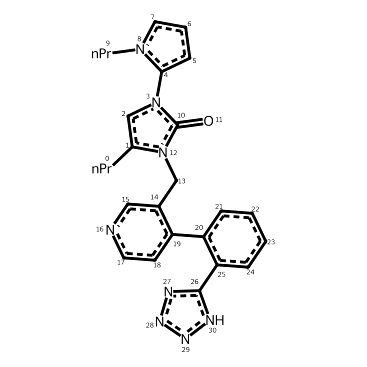 CCCc1cn(-c2cccn2CCC)c(=O)n1Cc1cnccc1-c1ccccc1-c1nnn[nH]1